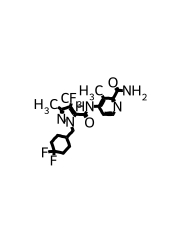 Cc1nn(CC2CCC(F)(F)CC2)c(C(=O)Nc2ccnc(C(N)=O)c2C)c1C(F)(F)F